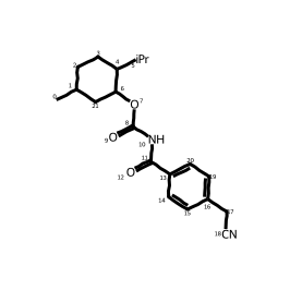 CC1CCC(C(C)C)C(OC(=O)NC(=O)c2ccc(CC#N)cc2)C1